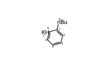 CCCCc1ccccc1.[KH]